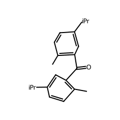 Cc1ccc(C(C)C)cc1C(=O)c1cc(C(C)C)ccc1C